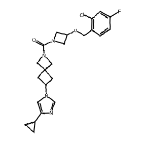 O=C(N1CC(OCc2ccc(F)cc2Cl)C1)N1CC2(CC(n3cnc(C4CC4)c3)C2)C1